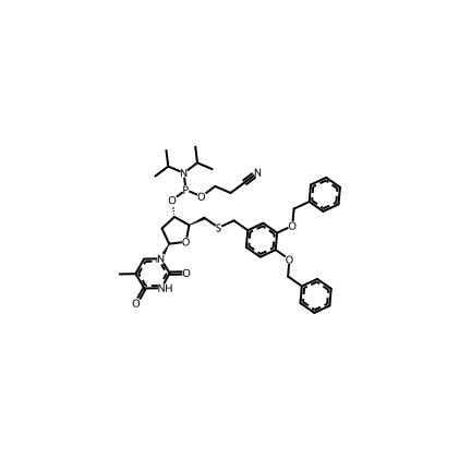 Cc1cn([C@H]2C[C@H](OP(OCCC#N)N(C(C)C)C(C)C)[C@@H](CSCc3ccc(OCc4ccccc4)c(OCc4ccccc4)c3)O2)c(=O)[nH]c1=O